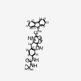 CC(C)(C)NC(=O)Nc1ccc(C[C@@H](NC(=O)OCC2c3ccccc3-c3ccccc32)C(=O)O)cc1